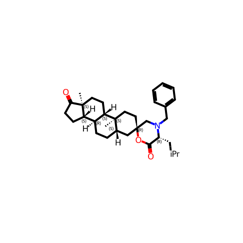 CC(C)C[C@@H]1C(=O)O[C@@]2(CC[C@@]3(C)[C@@H](CC[C@@H]4[C@@H]3CC[C@]3(C)C(=O)CC[C@@H]43)C2)CN1Cc1ccccc1